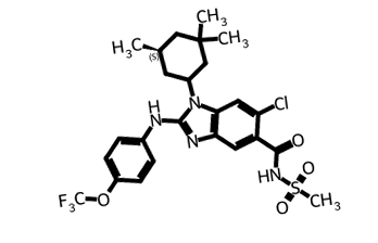 C[C@@H]1CC(n2c(Nc3ccc(OC(F)(F)F)cc3)nc3cc(C(=O)NS(C)(=O)=O)c(Cl)cc32)CC(C)(C)C1